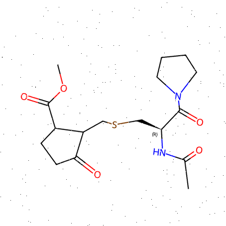 COC(=O)C1CCC(=O)C1CSC[C@H](NC(C)=O)C(=O)N1CCCC1